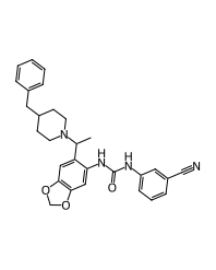 CC(c1cc2c(cc1NC(=O)Nc1cccc(C#N)c1)OCO2)N1CCC(Cc2ccccc2)CC1